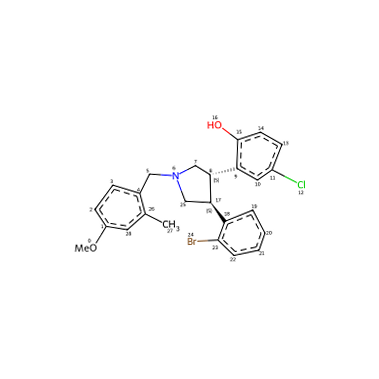 COc1ccc(CN2C[C@H](c3cc(Cl)ccc3O)[C@@H](c3ccccc3Br)C2)c(C)c1